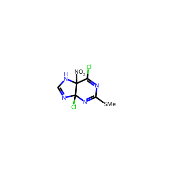 CSC1=NC2(Cl)N=CNC2([N+](=O)[O-])C(Cl)=N1